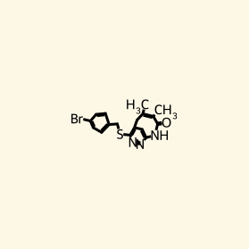 C/C1=C(\C)C(=O)Nc2cc(c(SCc3ccc(Br)cc3)nn2)C1